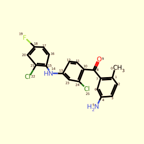 Cc1ccc(N)cc1C(=O)c1ccc(Nc2ccc(F)cc2Cl)cc1Cl